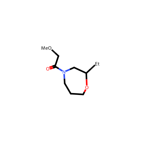 CCC1CN(C(=O)COC)CCCO1